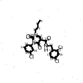 CCCCn1cc(C(=O)NCc2ccc(Cl)cc2Cl)c(=O)n(-c2cccc(Cl)c2)c1=O